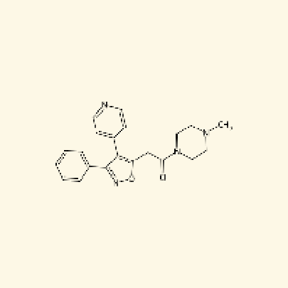 CN1CCN(C(=O)Cc2onc(-c3ccccc3)c2-c2ccncc2)CC1